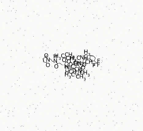 CN[C@H](C(=O)N[C@H](C(=O)N(C)[C@H](/C=C(\C)C(=O)N[C@H](CCC(=O)NCCN1C(=O)C=CC1=O)C(=O)OC(C)(C)C)C(C)C)C(C)(C)C)C(C)(C)C1=CC(C(F)(F)F)CC=C1